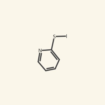 ISc1ccccn1